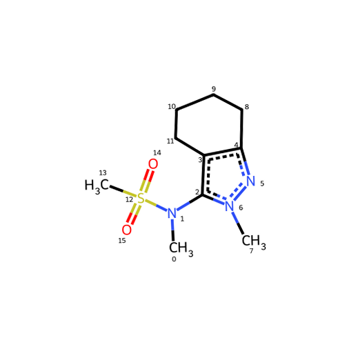 CN(c1c2c(nn1C)CCCC2)S(C)(=O)=O